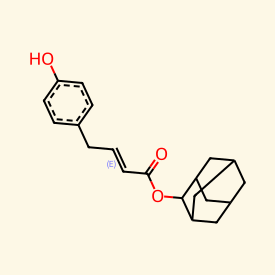 O=C(/C=C/Cc1ccc(O)cc1)OC1C2CC3CC(C2)CC1C3